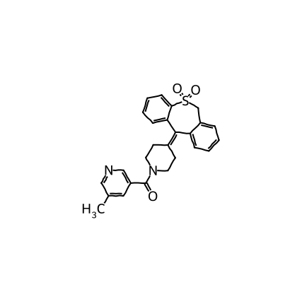 Cc1cncc(C(=O)N2CCC(=C3c4ccccc4CS(=O)(=O)c4ccccc43)CC2)c1